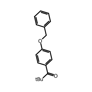 CC(C)(C)C(=O)c1ccc(OCc2ccccc2)cc1